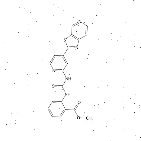 COC(=O)c1ccccc1NC(=S)Nc1cc(-c2nc3ccncc3s2)ccn1